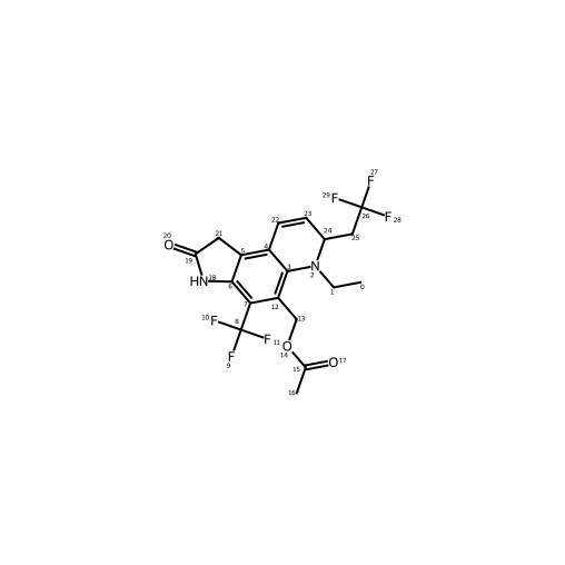 CCN1c2c(c3c(c(C(F)(F)F)c2COC(C)=O)NC(=O)C3)C=CC1CC(F)(F)F